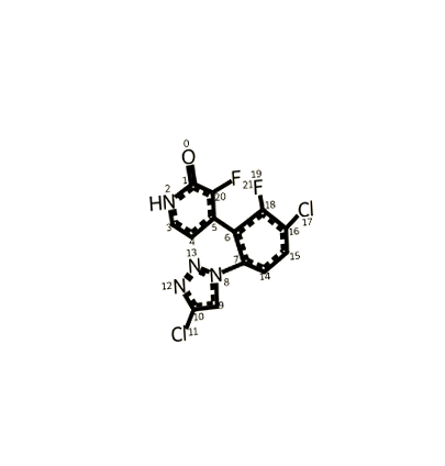 O=c1[nH]ccc(-c2c(-n3cc(Cl)nn3)ccc(Cl)c2F)c1F